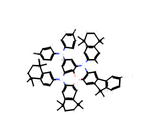 Cc1cc2c(cc1N1c3cc4c(cc3B3c5cc6c(cc5N(c5ccc7c(c5)C(C)(C)CCC7(C)C)c5cc(N(c7ccc(C(C)(C)C)cc7)c7ccc(C(C)(C)C)cc7)cc1c53)C(C)(C)CCC6(C)C)C(C)(C)c1ccc(C(C)(C)C)cc1-4)C(C)(C)CCC2(C)C